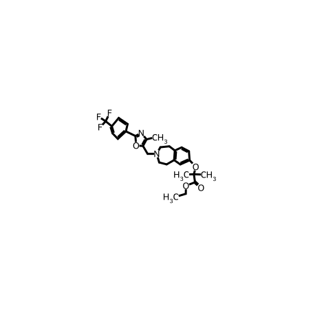 CCOC(=O)C(C)(C)Oc1ccc2c(c1)CCN(Cc1oc(-c3ccc(C(F)(F)F)cc3)nc1C)CC2